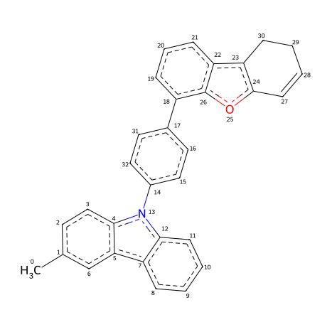 Cc1ccc2c(c1)c1ccccc1n2-c1ccc(-c2cccc3c4c(oc23)C=CCC4)cc1